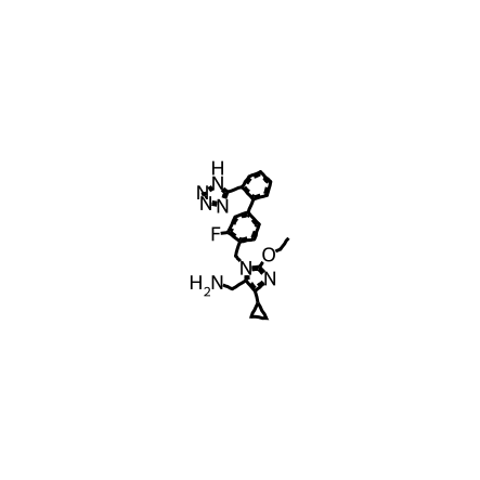 CCOc1nc(C2CC2)c(CN)n1Cc1ccc(-c2ccccc2-c2nnn[nH]2)cc1F